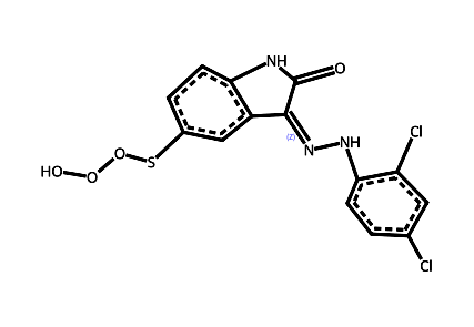 O=C1Nc2ccc(SOOO)cc2/C1=N/Nc1ccc(Cl)cc1Cl